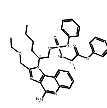 CCCC[C@@H](COP(=O)(N[C@@H](C)C(=O)Oc1ccccc1)Oc1ccccc1)n1c(COCC)nc2c(N)nc3ccccc3c21